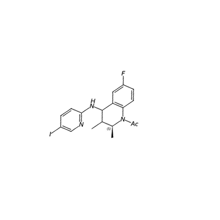 CC(=O)N1c2ccc(F)cc2C(Nc2ccc(I)cn2)C(C)[C@@H]1C